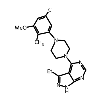 CCc1n[nH]c2ncnc(N3CCN(c4cc(Cl)cc(OC)c4C)CC3)c12